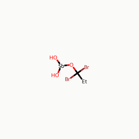 CCC(Br)(Br)[O][Sb]([OH])[OH]